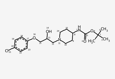 CC(C)(C)OC(=O)NC1CCN(CC(O)COc2ccc(Cl)cc2)CC1